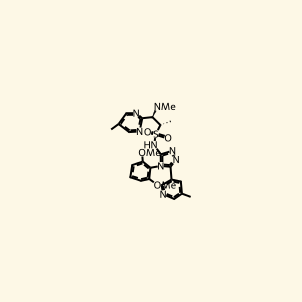 CN[C@H](c1ncc(C)cn1)[C@H](C)S(=O)(=O)Nc1nnc(-c2cncc(C)c2)n1-c1c(OC)cccc1OC